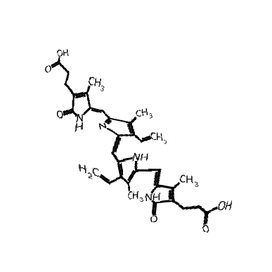 C=CC1=C(C)C(/C=C2\NC(=O)C(CCC(=O)O)=C2C)=NC/1=C/c1[nH]c(/C=C2\NC(=O)C(CCC(=O)O)=C2C)c(C)c1C=C